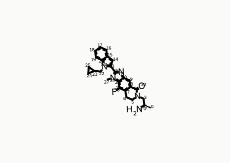 C[C@@H](N)CN1CCc2c(cc3nc(-c4cc5ccccc5n4CC4CC4)n(C)c3c2F)C1=O